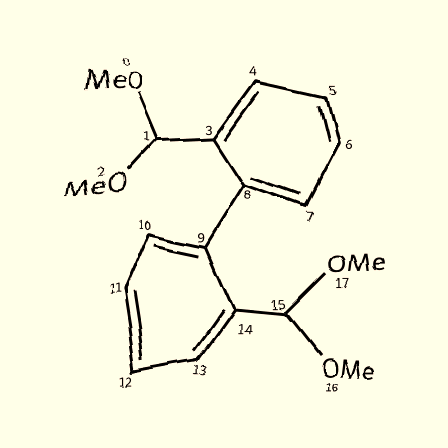 COC(OC)c1ccccc1-c1ccccc1C(OC)OC